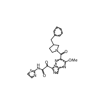 COc1nc2cnc(C(=O)C(=O)Nc3nccs3)n2nc1C(=O)N1CCC(Cc2ccccc2)C1